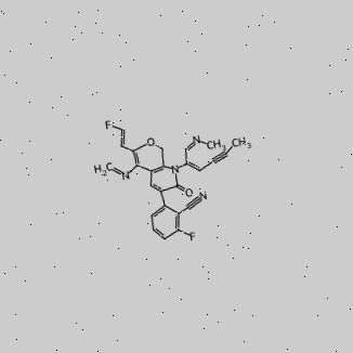 C=NC1=C(/C=C/F)OCc2c1cc(-c1cccc(F)c1C#N)c(=O)n2C(/C=N\C)=C/C#CC